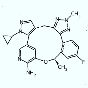 C[C@H]1Oc2cc(cnc2N)-c2c(cnn2C2CC2)Cc2nn(C)nc2-c2ccc(F)cc21